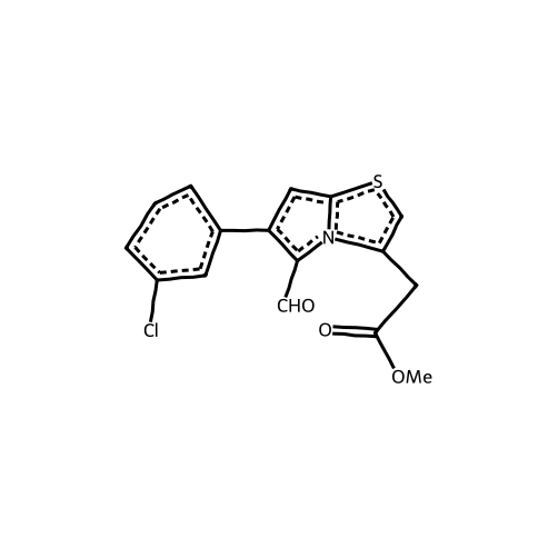 COC(=O)Cc1csc2cc(-c3cccc(Cl)c3)c(C=O)n12